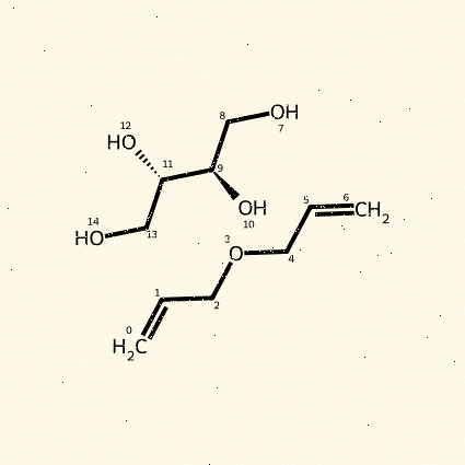 C=CCOCC=C.OC[C@@H](O)[C@@H](O)CO